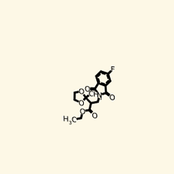 CCOC(=O)C(CN1C(=O)c2ccc(F)cc2C1=O)C1(C)OCCO1